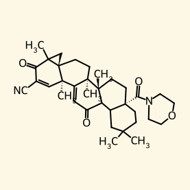 CC1(C)CC[C@]2(C(=O)N3CCOCC3)CC[C@]3(C)C(C(=O)C=C4[C@@]5(C)C=C(C#N)C(=O)C6(C)C[C@]65CC[C@]43C)C2C1